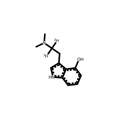 [2H]C([2H])(Cc1c[nH]c2cccc(O)c12)N(C)C